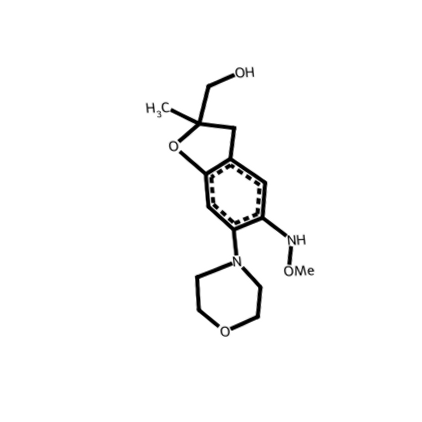 CONc1cc2c(cc1N1CCOCC1)OC(C)(CO)C2